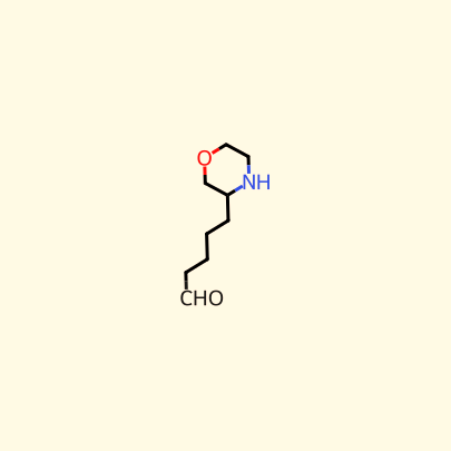 O=CCCCCC1COCCN1